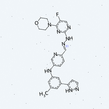 Cc1cc(Nc2ccc(/C=N/Nc3ncc(F)c(N4CCOCC4)n3)nc2)cc(-c2ccn[nH]2)c1